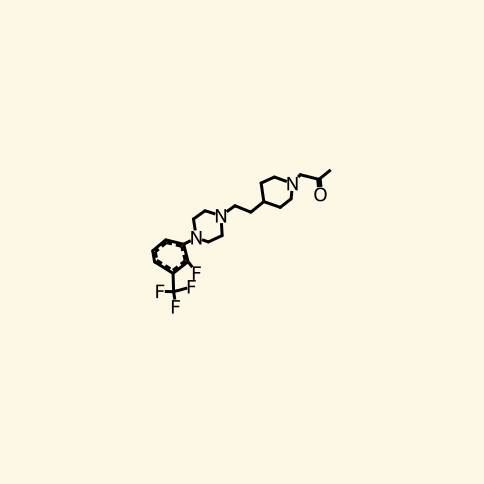 CC(=O)CN1CCC(CCN2CCN(c3cccc(C(F)(F)F)c3F)CC2)CC1